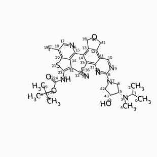 CC(C)N(C)[C@H]1CN(c2ncc3c4c(c(-c5ncc(F)c6sc(NC(=O)OC(C)(C)C)c(C#N)c56)c(F)c3n2)COC4)C[C@H]1O